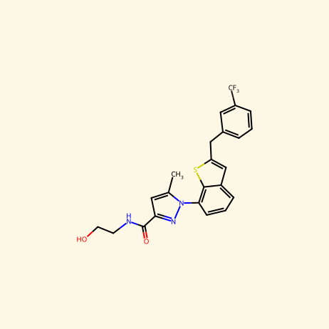 Cc1cc(C(=O)NCCO)nn1-c1cccc2cc(Cc3cccc(C(F)(F)F)c3)sc12